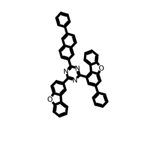 c1ccc(-c2ccc3cc(-c4nc(-c5ccc6oc7ccccc7c6c5)nc(-c5cc(-c6ccccc6)cc6oc7ccccc7c56)n4)ccc3c2)cc1